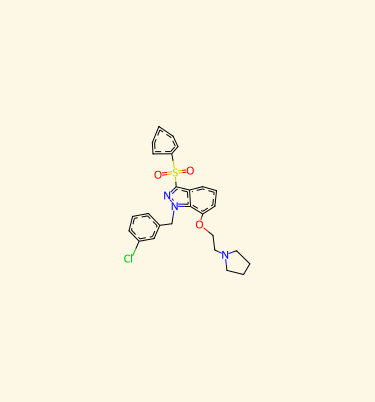 O=S(=O)(c1ccccc1)c1nn(Cc2cccc(Cl)c2)c2c(OCCN3CCCC3)cccc12